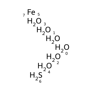 O.O.O.O.O.O.S.[Fe]